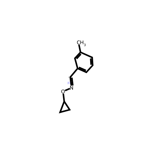 Cc1cccc(/[C]=N/OC2CC2)c1